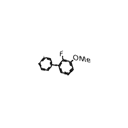 COc1cccc(-c2c[c]ccc2)c1F